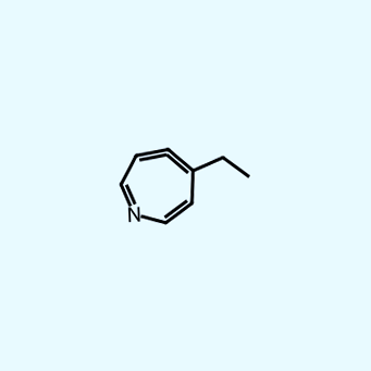 CCC1=C=CC=NC=C1